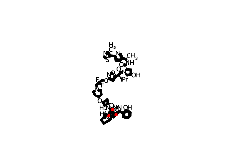 Cc1ncsc1-c1ccc([C@H](C)NC(=O)[C@@H]2C[C@@H](O)CN2C(=O)[C@H](c2cc(OCC(F)(F)CN3CCC(OC4CC(Oc5cc(N6C7CC[C@@H]6CN(c6cc(-c8ccccc8O)nnc6N)C7)ccn5)C4)CC3)no2)C(C)C)cn1